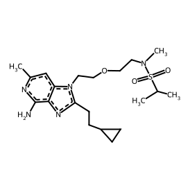 Cc1cc2c(nc(CCC3CC3)n2CCOCCN(C)S(=O)(=O)C(C)C)c(N)n1